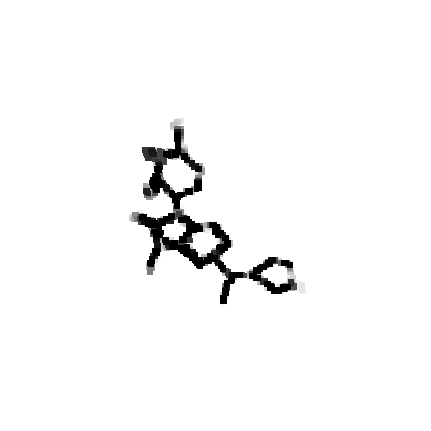 CN(c1ccc2c(c1)n(C)c(=O)n2C1CCC(=O)NC1=O)C1CCNC1